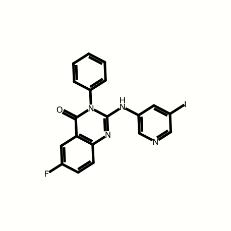 O=c1c2cc(F)ccc2nc(Nc2cncc(I)c2)n1-c1ccccc1